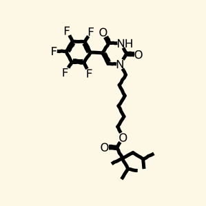 CC(C)CC(C)(C(=O)OCCCCCCn1cc(-c2c(F)c(F)c(F)c(F)c2F)c(=O)[nH]c1=O)C(C)C